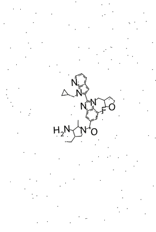 CCC1CN(C(=O)c2cc(F)c3c(c2)nc(-c2cc4cccnc4n2CC2CC2)n3CC2CCOC2)C(C)C1N